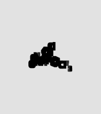 O=c1[nH]c(-c2nn(-c3ccc(C(F)(F)F)cc3)c3nc(Cl)ccc23)no1